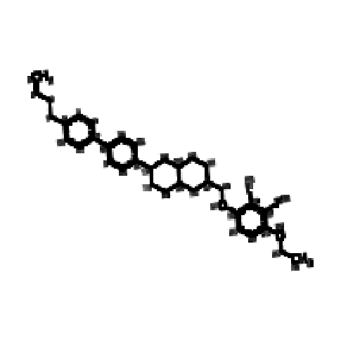 C=CCCc1ccc(-c2ccc(C3CCC4CC(COc5ccc(OCC)c(F)c5F)CCC4C3)cc2)cc1